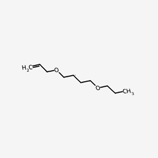 C=CCOC[CH]CCOCCC